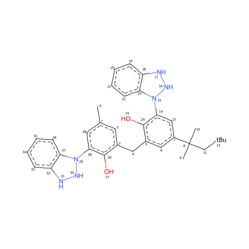 Cc1cc(Cc2cc(C(C)(C)CC(C)(C)C)cc(N3NNc4ccccc43)c2O)c(O)c(N2NNc3ccccc32)c1